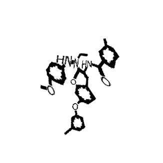 CCN(Nc1ccc(OC)cc1)C(=O)C(Cc1ccc(Oc2cccc(C)c2)cc1)NC(=O)c1cccc(C)c1